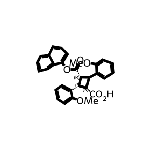 COc1ccccc1C1[C@@H](C(=O)Oc2cccc3ccccc23)[C@@H](c2ccccc2OC)[C@H]1C(=O)O